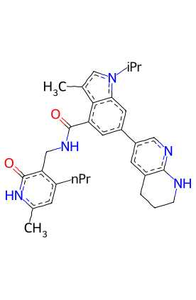 CCCc1cc(C)[nH]c(=O)c1CNC(=O)c1cc(-c2cnc3c(c2)CCCN3)cc2c1c(C)cn2C(C)C